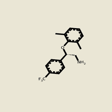 Cc1cccc(C)c1O[C@H](CN)c1ccc(C(F)(F)F)cc1